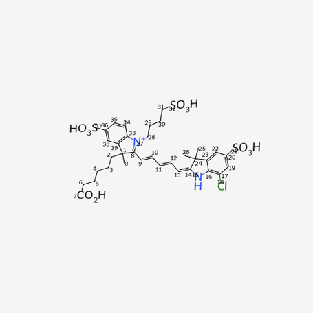 CC1(CCCCCC(=O)O)C(/C=C/C=C/C=C2/Nc3c(Cl)cc(S(=O)(=O)O)cc3C2(C)C)=[N+](CCCCS(=O)(=O)O)c2ccc(S(=O)(=O)O)cc21